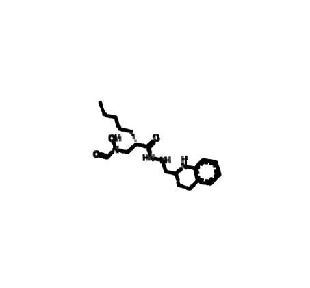 CCCCC[C@@H](CN(O)C=O)C(=O)NNCC1CCc2ccccc2N1